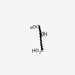 CCCCCCCCC=CCC=CCC(O)CCCCCCCCCCC(=O)O